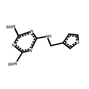 CNc1nc(NC)nc(NCc2ccsc2)n1